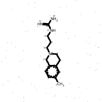 Cc1ccc2c(c1)CCN(CCCNC(=N)N)C2